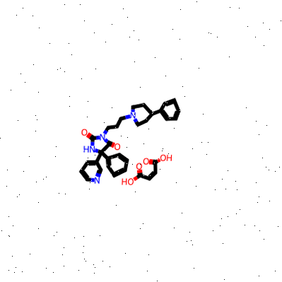 O=C(O)/C=C\C(=O)O.O=C1NC(c2ccccc2)(c2cccnc2)C(=O)N1CCCN1CCC(c2ccccc2)CC1